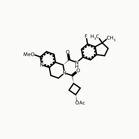 COc1ccc2c(n1)CCN(C(=O)[C@H]1C[C@@H](OC(C)=O)C1)[C@H]2C(=O)Nc1cc(F)c2c(c1)CCC2(C)C